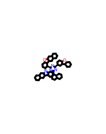 c1ccc2cc3c(cc2c1)oc1ccc(-n2c4ccccc4c4cc5ccccc5cc42)c(-c2nc(-c4ccc5oc6ccccc6c5c4)nc(-c4cccc5ccccc45)n2)c13